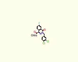 COC(=O)c1nn(Cc2ccc(Cl)c(Cl)c2)c(=O)c2cc(F)ccc12